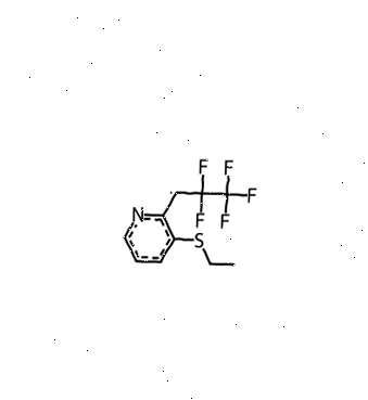 CCSc1cccnc1[CH]C(F)(F)C(F)(F)F